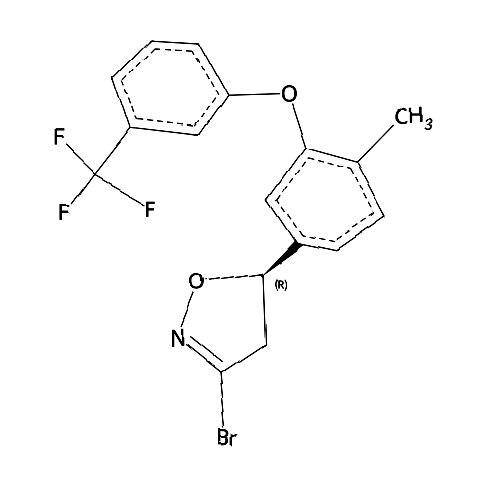 Cc1ccc([C@H]2CC(Br)=NO2)cc1Oc1cccc(C(F)(F)F)c1